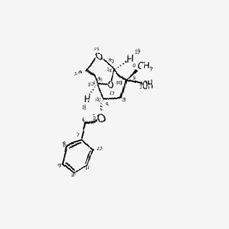 C[C@@]1(O)C[C@H](OCc2ccccc2)[C@H]2CO[C@@H]1O2